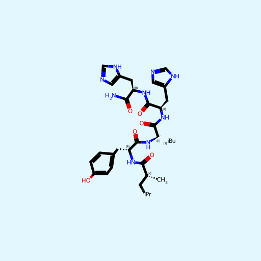 CC[C@H](C)[C@@H](NC(=O)[C@@H](Cc1ccc(O)cc1)NC(=O)[C@H](C)CC(C)C)C(=O)N[C@H](Cc1cnc[nH]1)C(=O)N[C@H](Cc1cnc[nH]1)C(N)=O